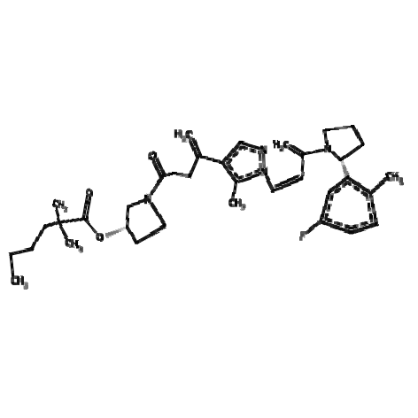 C=C(CC(=O)N1CC[C@H](OC(=O)C(C)(C)CCCC)C1)c1cnn(/C=C\C(=C)N2CCC[C@@H]2c2cc(F)ccc2C)c1C